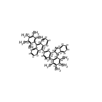 Bc1c(B)c(B)c(-c2c3ccccc3c(-c3cccc(-c4nc5ccccc5n4-c4c(B)c(B)c(B)c(B)c4B)c3)c3ccccc23)c(B)c1B